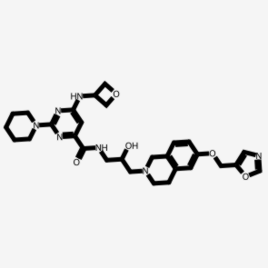 O=C(NCC(O)CN1CCc2cc(OCc3cnco3)ccc2C1)c1cc(NC2COC2)nc(N2CCCCC2)n1